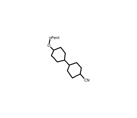 CCCCCOC1CCC(C2CCC(C#N)CC2)CC1